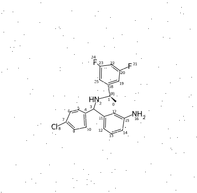 C[C@@H](NC(c1ccc(Cl)cc1)c1cccc(N)c1)c1cc(F)cc(F)c1